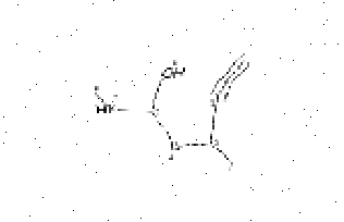 C#CC(C)OC(O)NC